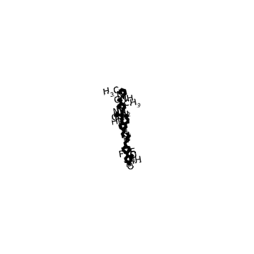 Cc1cccc(NC(=O)c2cnc(-c3nn4c(c3C(N)=O)Nc3ccc(N5CCN(CCc6cc(F)c(C7CCC(=O)NC7=O)c(F)c6)CC5)cc3CC4)cc2C)n1